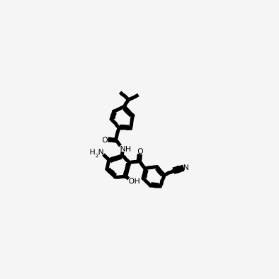 CC(C)c1ccc(C(=O)Nc2c(N)ccc(O)c2C(=O)c2cccc(C#N)c2)cc1